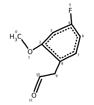 COc1cc(F)ccc1C[C]=O